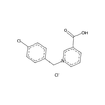 O=C(O)c1ccc[n+](Cc2ccc(Cl)cc2)c1.[Cl-]